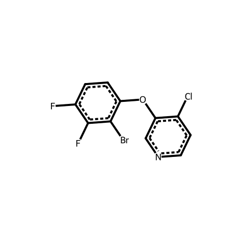 Fc1ccc(Oc2cnccc2Cl)c(Br)c1F